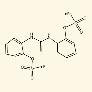 CCCS(=O)(=O)Oc1ccccc1NC(=O)Nc1ccccc1OS(=O)(=O)CCC